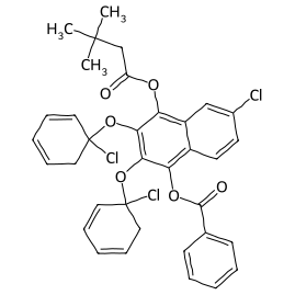 CC(C)(C)CC(=O)Oc1c(OC2(Cl)C=CC=CC2)c(OC2(Cl)C=CC=CC2)c(OC(=O)c2ccccc2)c2ccc(Cl)cc12